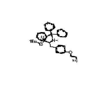 CC(C)(C)OC(=O)[C@H](Cc1ccc(OCC[18F])cc1)NC(c1ccccc1)(c1ccccc1)c1ccccc1